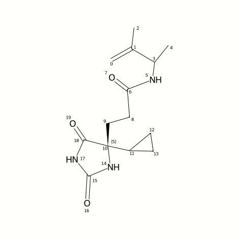 C=C(C)C(C)NC(=O)CC[C@@]1(C2CC2)NC(=O)NC1=O